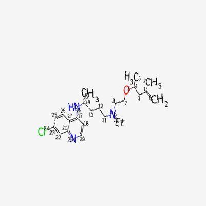 C=C(C)CC(C)OCCN(CC)CCCC(C)Nc1ccnc2cc(Cl)ccc12